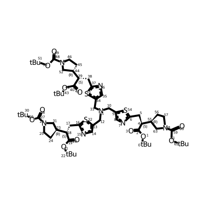 CC(C)(C)OC(=O)[C@@H](Cc1ncc(CN(Cc2cnc(C[C@H](C(=O)OC(C)(C)C)[C@H]3CCN(C(=O)OC(C)(C)C)C3)s2)Cc2cnc(C[C@H](C(=O)OC(C)(C)C)[C@H]3CCN(C(=O)OC(C)(C)C)C3)s2)s1)[C@H]1CCN(C(=O)OC(C)(C)C)C1